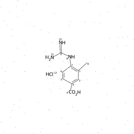 Cc1cc(C(=O)O)ccc1NC(=N)N.Cl